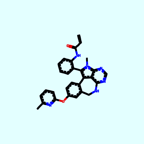 C=CC(=O)Nc1ccccc1-c1c2c3c(ncnc3n1C)NCc1cc(Oc3cccc(C)n3)ccc1-2